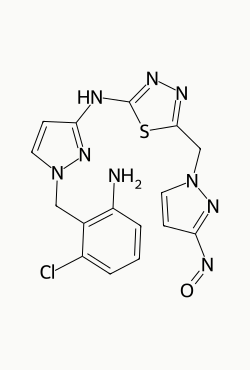 Nc1cccc(Cl)c1Cn1ccc(Nc2nnc(Cn3ccc(N=O)n3)s2)n1